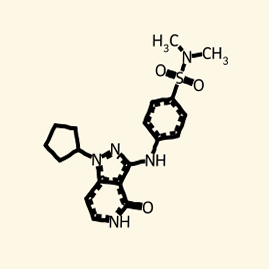 CN(C)S(=O)(=O)c1ccc(Nc2nn(C3CCCC3)c3cc[nH]c(=O)c23)cc1